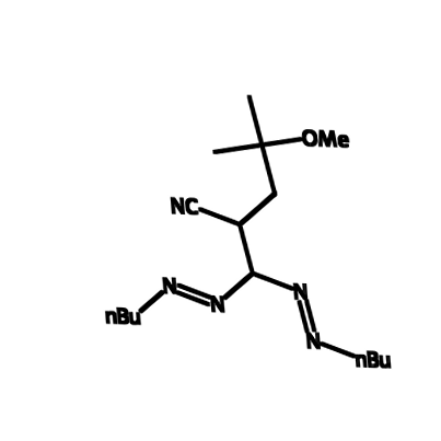 CCCCN=NC(N=NCCCC)C(C#N)CC(C)(C)OC